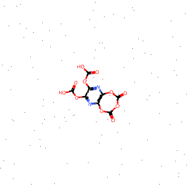 O=C(O)Oc1nc2c(nc1OC(=O)O)OC(=O)OC(=O)O2